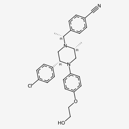 C[C@@H]1CN(c2ccc(OCCO)cc2)[C@H](c2ccc(Cl)cc2)CN1[C@H](C)c1ccc(C#N)cc1